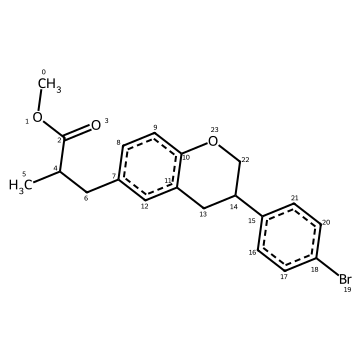 COC(=O)C(C)Cc1ccc2c(c1)CC(c1ccc(Br)cc1)CO2